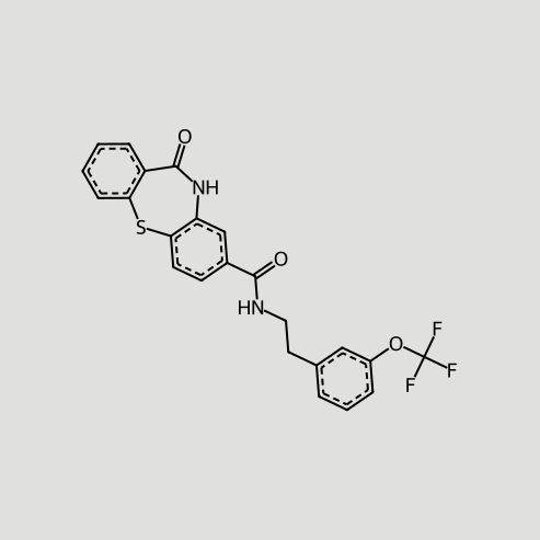 O=C(NCCc1cccc(OC(F)(F)F)c1)c1ccc2c(c1)NC(=O)c1ccccc1S2